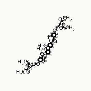 C=CC(=O)OCC(CCOc1ccc(C(=O)Oc2ccc3c(c2)C(C)(C)c2cc(OC(=O)c4ccc(OCCC(COC(=O)C=C)OC(=O)C=C)cc4F)ccc2-3)c(F)c1)OC(=O)C=C